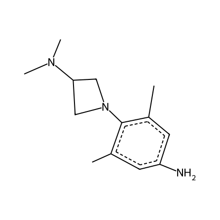 Cc1cc(N)cc(C)c1N1CC(N(C)C)C1